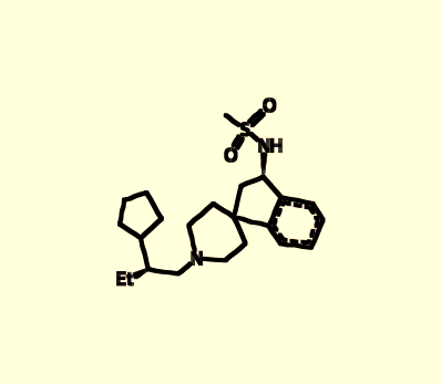 CC[C@H](CN1CCC2(CC1)C[C@@H](NS(C)(=O)=O)c1ccccc12)C1CCCC1